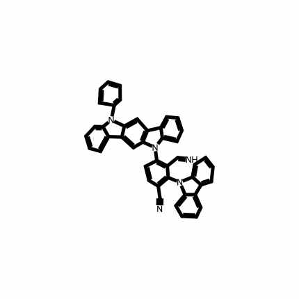 N#Cc1ccc(-n2c3ccccc3c3cc4c(cc32)c2ccccc2n4-c2ccccc2)c(C=N)c1-n1c2ccccc2c2ccccc21